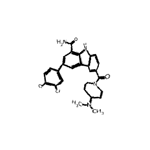 CN(C)C1CCN(C(=O)c2ccc3[nH]c4c(C(N)=O)cc(-c5ccc(Cl)c(Cl)c5)cc4c3c2)CC1